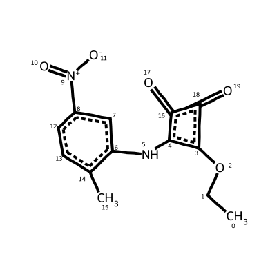 CCOc1c(Nc2cc([N+](=O)[O-])ccc2C)c(=O)c1=O